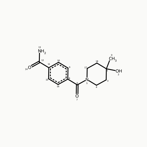 CC1(O)CCN(C(=O)c2ccc(C(N)=O)cc2)CC1